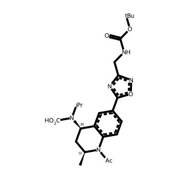 CC(=O)N1c2ccc(-c3nc(CNC(=O)OC(C)(C)C)no3)cc2[C@H](N(C(=O)O)C(C)C)C[C@@H]1C